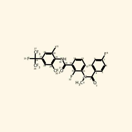 CN(C(=O)c1ccc(F)cc1)c1cccc(C(=O)Nc2c(I)cc(C(F)(C(F)(F)F)C(F)(F)F)cc2C(F)(F)F)c1F